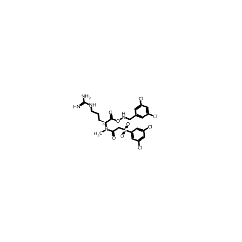 CN(C(=O)CS(=O)(=O)c1cc(Cl)cc(Cl)c1)[C@@H](CCCNC(=N)N)C(=O)ONCc1cc(Cl)cc(Cl)c1